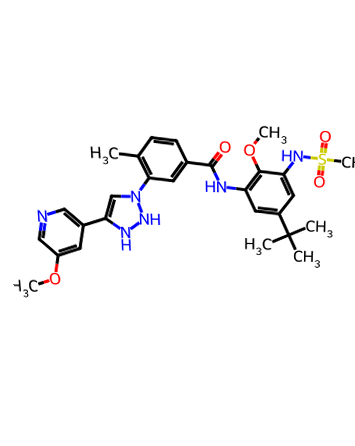 COc1cncc(C2=CN(c3cc(C(=O)Nc4cc(C(C)(C)C)cc(NS(C)(=O)=O)c4OC)ccc3C)NN2)c1